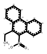 CCc1c([N+](=O)[O-])c2ccccc2c2ccccc12